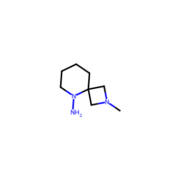 CN1CC2(CCCCN2N)C1